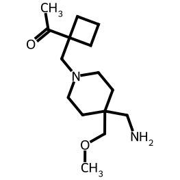 COCC1(CN)CCN(CC2(C(C)=O)CCC2)CC1